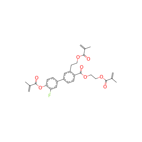 C=C(C)C(=O)OCCOC(=O)c1ccc(-c2ccc(OC(=O)C(=C)C)c(F)c2)cc1CCOC(=O)C(=C)C